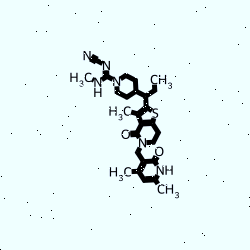 CCC(c1sc2c(c1C)C(=O)N(Cc1c(C)cc(C)[nH]c1=O)CC2)C1CCN(/C(=N/C#N)NC)CC1